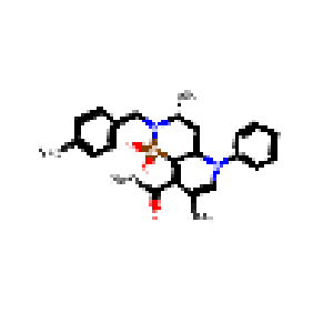 CCCC[C@@H]1CC2C(=C(C(=O)OC)C(OC)=CN2c2ccccc2)S(=O)(=O)N1Cc1ccc(OC)cc1